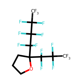 FC(F)(F)C(F)(F)C(F)(F)C(F)(F)C1(C(F)(F)C(F)(F)C(F)(F)F)CCCO1